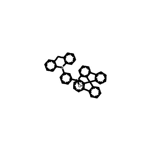 CN(c1cccc(N2c3ccccc3Cc3ccccc32)c1)c1cccc2c1C1(c3ccccc3-c3ccccc31)c1ccccc1-2